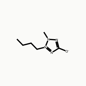 CCCC[n+]1nc([O-])nn1C